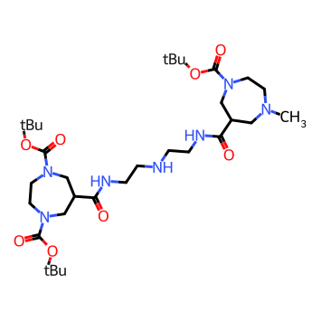 CN1CCN(C(=O)OC(C)(C)C)CC(C(=O)NCCNCCNC(=O)C2CN(C(=O)OC(C)(C)C)CCN(C(=O)OC(C)(C)C)C2)C1